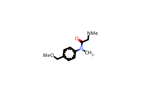 CNCC(=O)N(C)c1ccc(COC)cc1